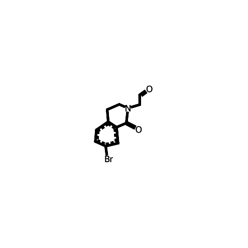 O=CCN1CCc2ccc(Br)cc2C1=O